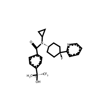 C[C@](O)(c1ccc(C(=O)N(C2CC2)[C@H]2CC[C@@](F)(c3ccccn3)CC2)cc1)C(F)(F)F